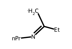 [CH2]C(CC)=NCCC